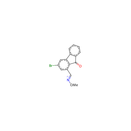 CO/N=C/c1cc(Br)cc2c1C(=O)c1ccccc1-2